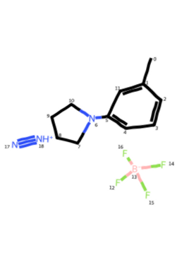 Cc1cccc(N2CCCC2)c1.F[B-](F)(F)F.N#[NH+]